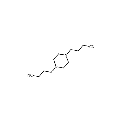 N#CCCCN1CCN(CCCC#N)CC1